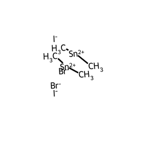 [Br-].[Br-].[CH3][Sn+2][CH3].[CH3][Sn+2][CH3].[I-].[I-]